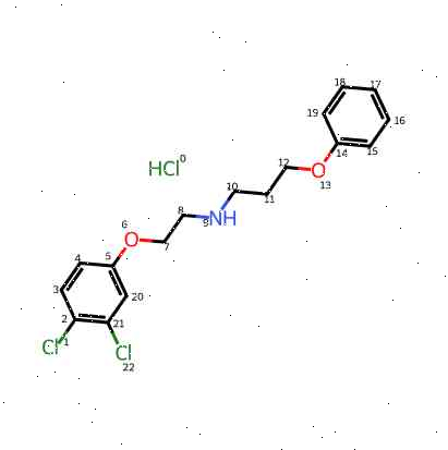 Cl.Clc1ccc(OCCNCCCOc2ccccc2)cc1Cl